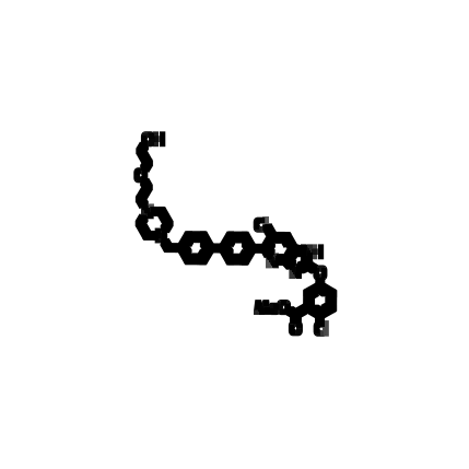 COC(=O)c1cc(Oc2nc3nc(-c4ccc(-c5ccc(CN6CCN(CCOCCO)CC6)cc5)cc4)c(Cl)cc3[nH]2)ccc1Cl